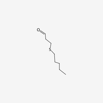 CCCCCSCCC=O